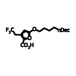 CCCCCCCCCCCCCCOc1cc(CC(F)(F)F)c(C(=O)O)o1